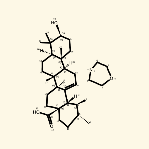 C1COCCN1.C[C@H]1[C@H](C)CC[C@]2(C(=O)O)CC[C@]3(C)C(=CC[C@@H]4[C@@]5(C)CC[C@H](O)C(C)(C)[C@@H]5CC[C@]43C)[C@H]12